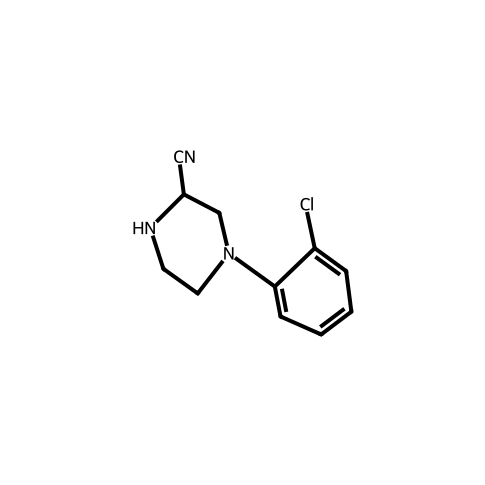 N#CC1CN(c2ccccc2Cl)CCN1